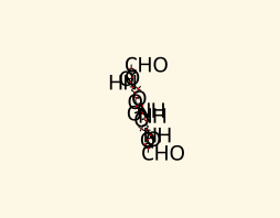 Cc1[nH]c(NC(=O)CC2CC(C)(C)CC(C)(CNC(=O)Oc3ccc(C=O)cc3)C2)cc(=O)c1CCOC(=O)CC1CC(C)(C)CC(C)(CNC(=O)Oc2ccc(C=O)cc2)C1